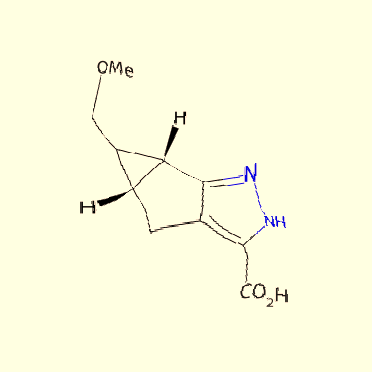 COCC1[C@H]2Cc3c(n[nH]c3C(=O)O)[C@@H]12